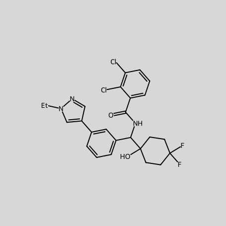 CCn1cc(-c2cccc(C(NC(=O)c3cccc(Cl)c3Cl)C3(O)CCC(F)(F)CC3)c2)cn1